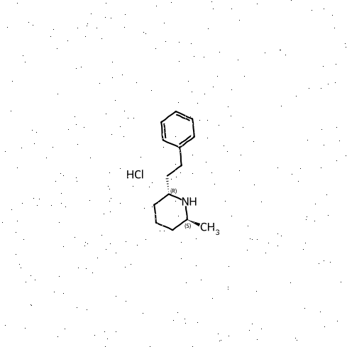 C[C@H]1CCC[C@H](CCc2ccccc2)N1.Cl